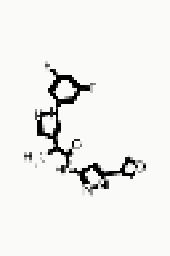 CC(C(=O)Nc1cc(C2COC2)[nH]n1)c1cnn(-c2cc(F)cc(F)c2)c1